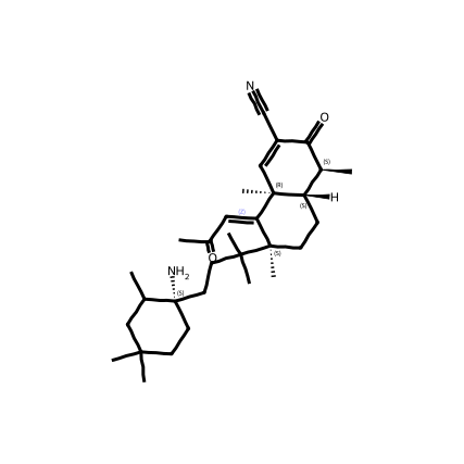 CC(=O)/C=C1/[C@@]2(C)C=C(C#N)C(=O)[C@@H](C)[C@@H]2CC[C@@]1(C)C(C)(C)CC[C@@]1(N)CCC(C)(C)CC1C